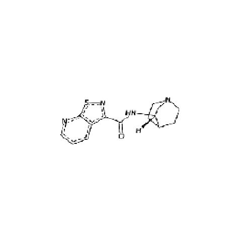 O=C(N[C@@H]1CN2CCC1CC2)c1nsc2ncccc12